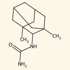 CC12CC3CC(C1)CC(C)(C3)C2NC(N)=O